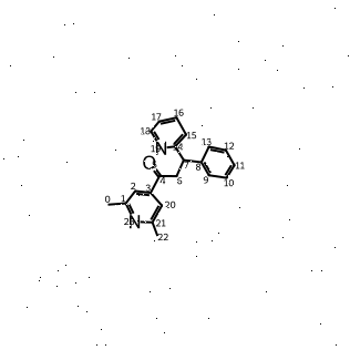 Cc1cc(C(=O)CC(c2ccccc2)c2ccccn2)cc(C)n1